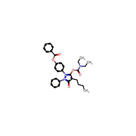 CCCCc1c(OC(=O)N(CC)CC)n(-c2ccc(OC(=O)c3ccccc3)cc2)n(-c2ccccc2)c1=O